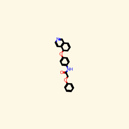 O=C(COc1ccccc1)Nc1ccc(OC2CC=Cc3cnccc32)cc1